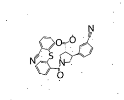 COC(=O)[C@H]1CN(C(=O)c2ccccc2Sc2ccccc2C#N)C[C@@H]1c1cccc(C#N)c1